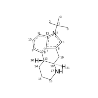 CC(C)(C)n1cc2c3c(cccc31)[C@H]1CCCN[C@@H]1C2